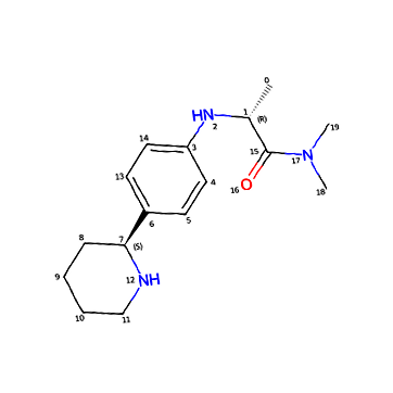 C[C@@H](Nc1ccc([C@@H]2CCCCN2)cc1)C(=O)N(C)C